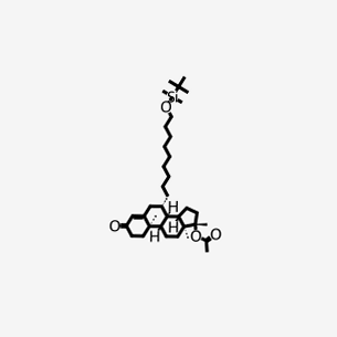 CC(=O)O[C@@]1(C)CC[C@H]2[C@@H]3[C@@H](CCCCCCCCCO[Si](C)(C)C(C)(C)C)CC4=CC(=O)CC[C@]4(C)[C@H]3CC[C@@]21C